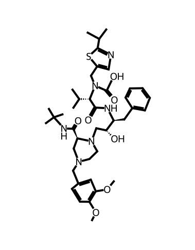 COc1ccc(CN2CCN(C[C@@H](O)[C@H](Cc3ccccc3)NC(=O)[C@H](C(C)C)N(Cc3cnc(C(C)C)s3)C(=O)O)[C@H](C(=O)NC(C)(C)C)C2)cc1OC